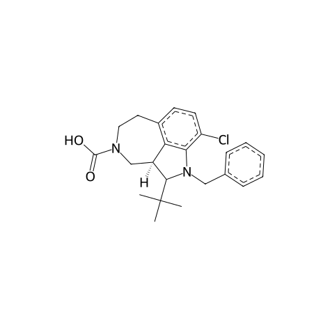 CC(C)(C)C1[C@H]2CN(C(=O)O)CCc3ccc(Cl)c(c32)N1Cc1ccccc1